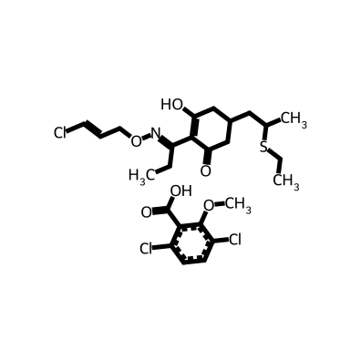 CCSC(C)CC1CC(=O)C(/C(CC)=N/OC/C=C/Cl)=C(O)C1.COc1c(Cl)ccc(Cl)c1C(=O)O